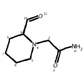 NC(=O)CN1CCCCC1C=O